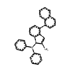 CC1=Cc2c(-c3cccc4ccccc34)cccc2[CH]1[Zr]([c]1ccccc1)[c]1ccccc1